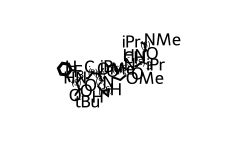 CC[C@H](C)[C@@H](C(CC(=O)N1[C@H]2C[C@H]2C[C@H]1[C@H](OC)[C@@H](C)C(=O)N[C@@H](Cc1ccccc1F)C(=O)OC(C)(C)C)OC)N(C)C(=O)[C@@H](NC(=O)[C@@H](NC)C(C)C)C(C)C